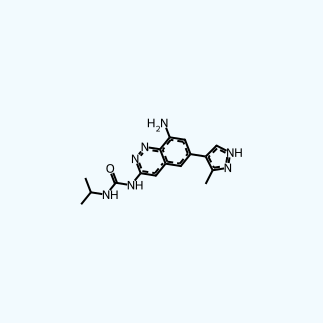 Cc1n[nH]cc1-c1cc(N)c2nnc(NC(=O)NC(C)C)cc2c1